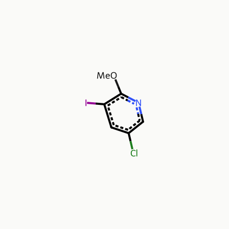 COc1ncc(Cl)cc1I